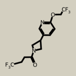 O=C(CCC(F)(F)F)N1CC(c2ccc(OCC(F)(F)F)nc2)C1